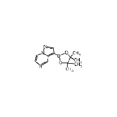 CC1(C)OB(c2cnn3ccncc23)OC1(C)C